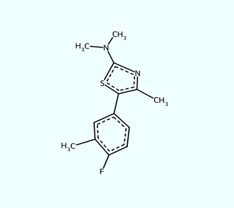 Cc1cc(-c2sc(N(C)C)nc2C)ccc1F